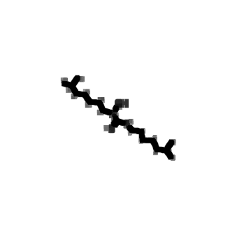 CC(C)CCCCCSC(=S)N(O)CCCCCC(C)C